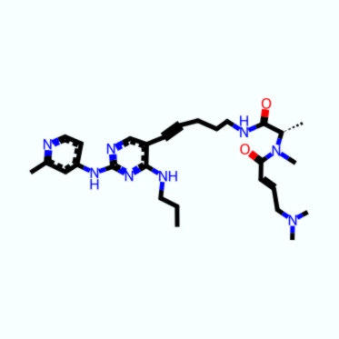 CCCNc1nc(Nc2ccnc(C)c2)ncc1C#CCCCNC(=O)[C@H](C)N(C)C(=O)/C=C/CN(C)C